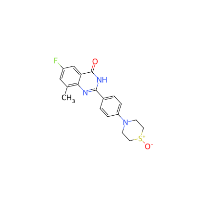 Cc1cc(F)cc2c(=O)[nH]c(-c3ccc(N4CC[S+]([O-])CC4)cc3)nc12